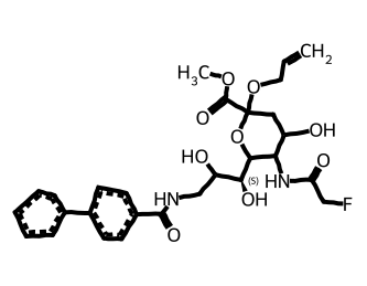 C=CCOC1(C(=O)OC)CC(O)C(NC(=O)CF)C([C@@H](O)C(O)CNC(=O)c2ccc(-c3ccccc3)cc2)O1